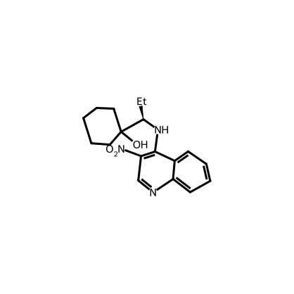 CC[C@@H](Nc1c([N+](=O)[O-])cnc2ccccc12)C1(O)CCCCC1